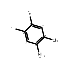 Nc1cc(I)c(F)cc1Cl